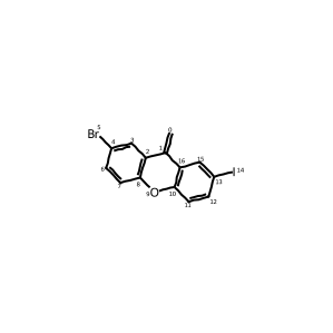 C=C1c2cc(Br)ccc2Oc2ccc(I)cc21